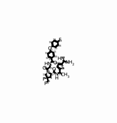 CC(NC(=O)[C@@H]1C[C@](F)(CF)CN1C(=O)CNC(=O)c1ccc(Oc2ccc(F)cc2)cc1)c1ccc(C(=N)N)s1